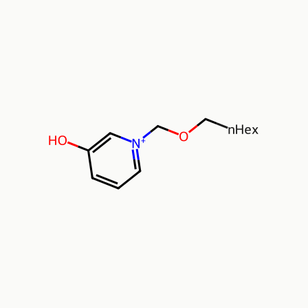 CCCCCCCOC[n+]1cccc(O)c1